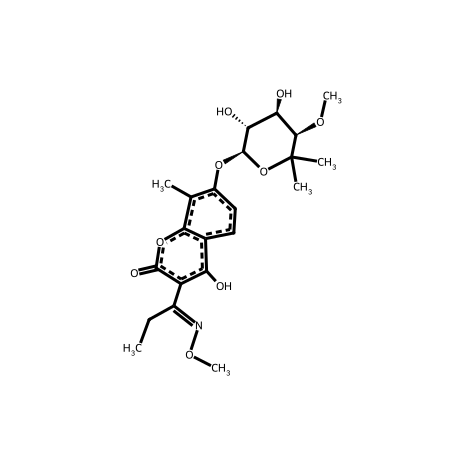 CCC(=NOC)c1c(O)c2ccc(O[C@@H]3OC(C)(C)[C@H](OC)[C@H](O)[C@H]3O)c(C)c2oc1=O